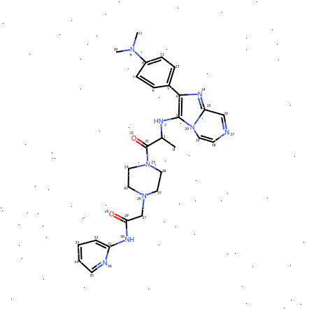 CC(Nc1c(-c2ccc(N(C)C)cc2)nc2cnccn12)C(=O)N1CCN(CC(=O)Nc2ccccn2)CC1